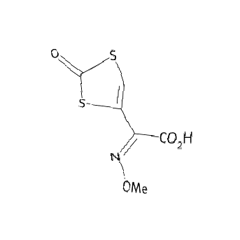 CO/N=C(\C(=O)O)c1csc(=O)s1